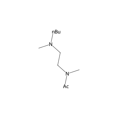 CCCCN(C)CCN(C)C(C)=O